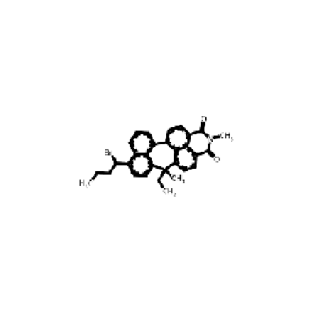 CCCC(Br)c1ccc2c3c(cccc13)-c1ccc3c4c(ccc(c14)C2(C)CC)C(=O)N(C)C3=O